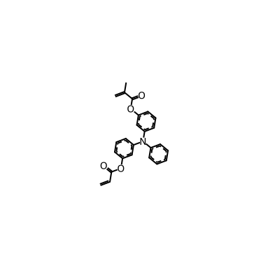 C=CC(=O)Oc1cccc(N(c2ccccc2)c2cccc(OC(=O)C(=C)C)c2)c1